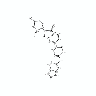 O=C1CCC(N2Cc3cc(C4CCN(Cc5ccc6nonc6c5)CC4)ccc3C2=O)C(=O)N1